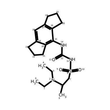 CCN(CC)C(C)CS(=O)(=O)NC(=O)Nc1c2c(cc3c1CCC3)CCC2